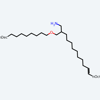 CCCCCCCCC=CCCCCCCCCC(CN)COCCCCCCCCCCCCCCCCCC